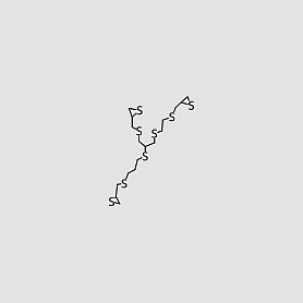 C(CSCC1CS1)CSC(CSCCSCC1CS1)CSCC1CS1